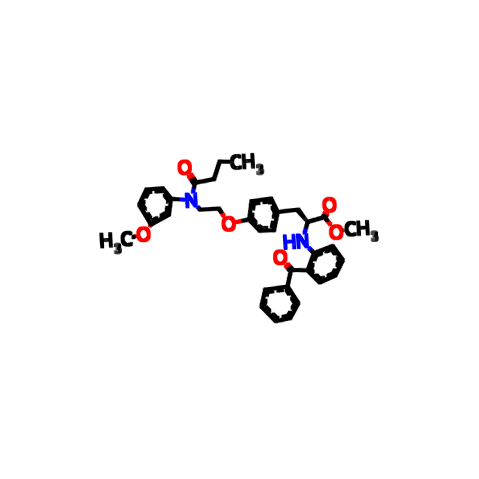 CCCC(=O)N(CCOc1ccc(C[C@H](Nc2ccccc2C(=O)c2ccccc2)C(=O)OC)cc1)c1cccc(OC)c1